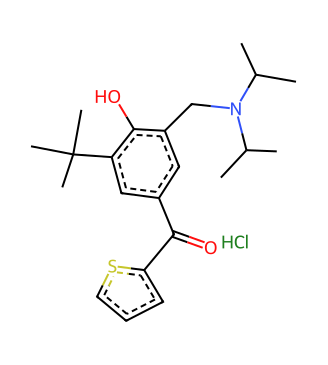 CC(C)N(Cc1cc(C(=O)c2cccs2)cc(C(C)(C)C)c1O)C(C)C.Cl